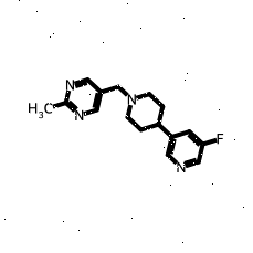 Cc1ncc(CN2CCC(c3cncc(F)c3)CC2)cn1